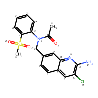 CC(=O)N(Cc1ccc2cc(Cl)c(N)nc2c1)c1ccccc1S(C)(=O)=O